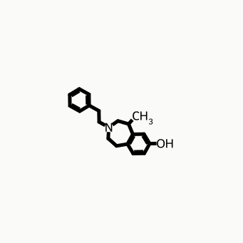 CC1CN(CCc2ccccc2)CCc2ccc(O)cc21